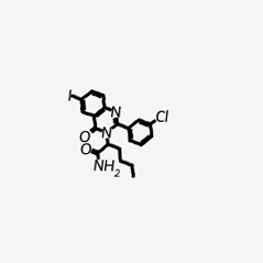 CCCCC(C(N)=O)n1c(-c2cccc(Cl)c2)nc2ccc(I)cc2c1=O